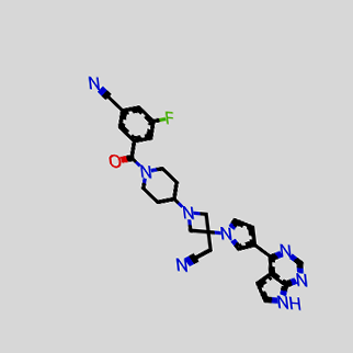 N#CCC1(n2ccc(-c3ncnc4[nH]ccc34)c2)CN(C2CCN(C(=O)c3cc(F)cc(C#N)c3)CC2)C1